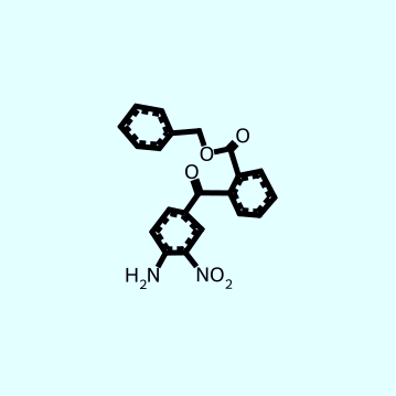 Nc1ccc(C(=O)c2ccccc2C(=O)OCc2ccccc2)cc1[N+](=O)[O-]